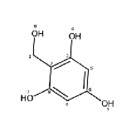 OCc1c(O)cc(O)cc1O